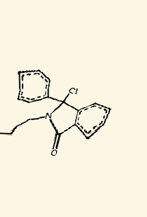 CCCN1C(=O)c2ccccc2C1(Cl)c1ccccc1